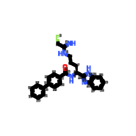 N=C(CF)NCCC[C@H](NC(=O)c1ccc(-c2ccccc2)cc1)c1nc2ccccc2[nH]1